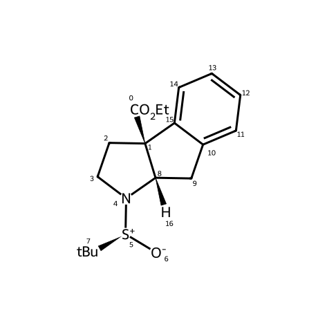 CCOC(=O)[C@]12CCN([S@@+]([O-])C(C)(C)C)[C@H]1Cc1ccccc12